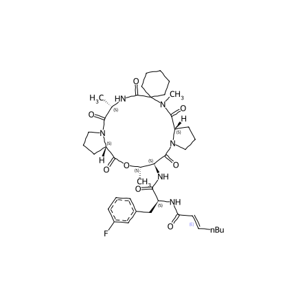 CCCC/C=C/C(=O)N[C@@H](Cc1cccc(F)c1)C(=O)N[C@@H]1C(=O)N2CCC[C@H]2C(=O)N(C)C2(CCCCC2)C(=O)N[C@@H](C)C(=O)N2CCC[C@H]2C(=O)O[C@H]1C